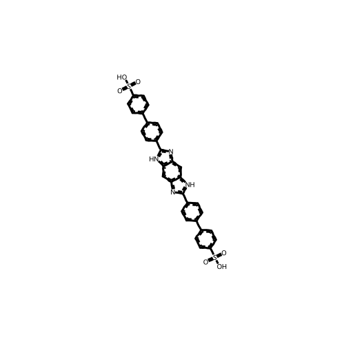 O=S(=O)(O)c1ccc(-c2ccc(-c3nc4cc5[nH]c(-c6ccc(-c7ccc(S(=O)(=O)O)cc7)cc6)nc5cc4[nH]3)cc2)cc1